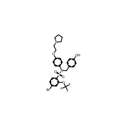 O=S(=O)(c1ccc(Br)cc1OC(F)(F)F)N(Cc1ccc(O)cc1)c1ccc(OCCN2CCCC2)cc1